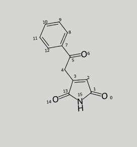 O=C1C=C(CC(=O)c2ccccc2)C(=O)N1